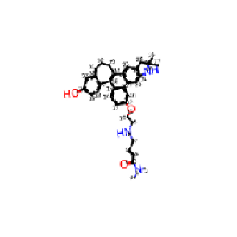 CN(C)C(=O)/C=C/CNCCOc1ccc(C2=C(c3ccc4c(c3)CC(C)(C)N4)CCCc3cc(O)ccc32)cc1